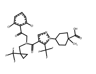 CC1(C(=O)O)CCC(n2ncc(C(=O)N(CC(=O)c3c(Cl)cccc3Cl)CC3(C(F)(F)F)CC3)c2C(F)(F)F)CC1